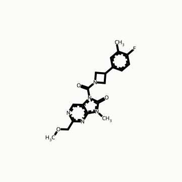 COCc1ncc2c(n1)n(C)c(=O)n2C(=O)N1CC(c2ccc(F)c(C)c2)C1